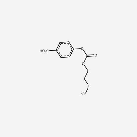 CCCOCCOC(=O)Oc1ccc(C(=O)O)cc1